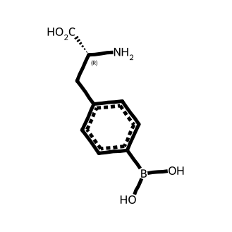 N[C@H](Cc1ccc(B(O)O)cc1)C(=O)O